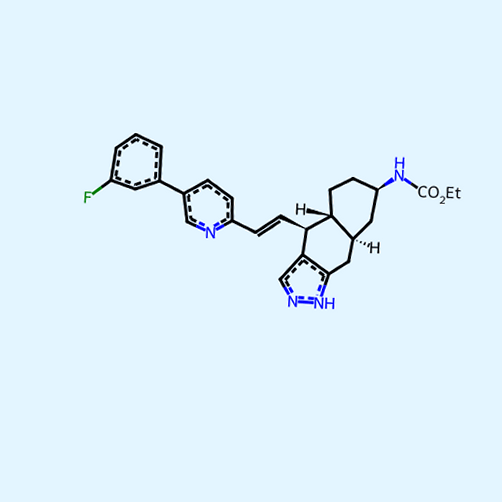 CCOC(=O)N[C@@H]1CC[C@@H]2[C@H](Cc3[nH]ncc3[C@H]2/C=C/c2ccc(-c3cccc(F)c3)cn2)C1